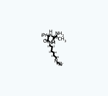 CC(C)[C@@H](NC(=O)[C@@H](C)N)C(=O)NCCCCCCN=[N+]=[N-]